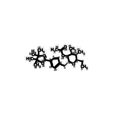 CC[C@H]1O[C@H](Cc2ccc(B3OC(C)(C)C(C)(C)O3)cc2)[C@@H](OC(C)=O)[C@@H](C)[C@@H]1C